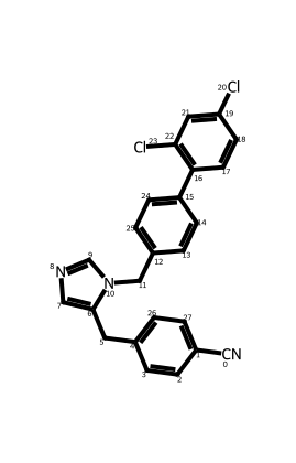 N#Cc1ccc(Cc2cncn2Cc2ccc(-c3ccc(Cl)cc3Cl)cc2)cc1